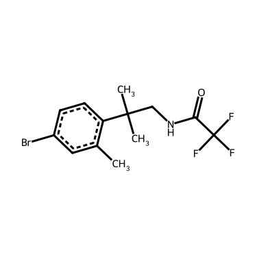 Cc1cc(Br)ccc1C(C)(C)CNC(=O)C(F)(F)F